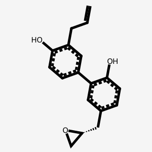 C=CCc1cc(-c2cc(C[C@@H]3CO3)ccc2O)ccc1O